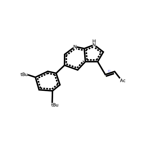 CC(=O)/C=C/c1c[nH]c2ncc(-c3cc(C(C)(C)C)cc(C(C)(C)C)c3)cc12